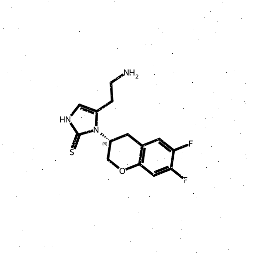 NCCc1c[nH]c(=S)n1[C@H]1COc2cc(F)c(F)cc2C1